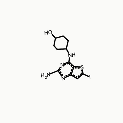 Nc1nc(NC2CCC(O)CC2)c2sc(I)cc2n1